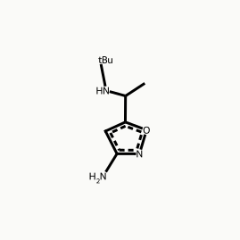 CC(NC(C)(C)C)c1cc(N)no1